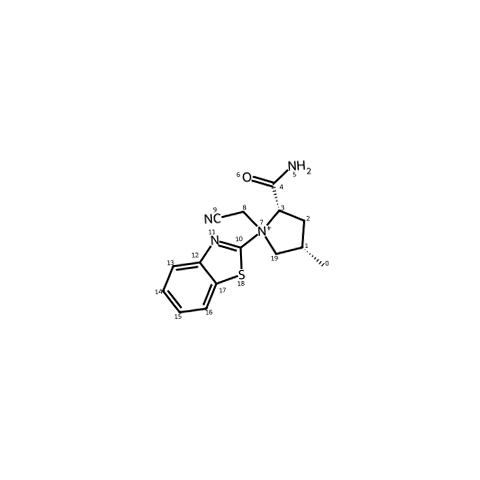 C[C@H]1C[C@@H](C(N)=O)[N+](CC#N)(c2nc3ccccc3s2)C1